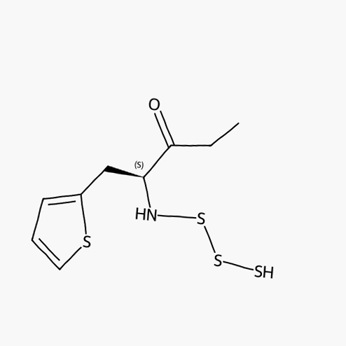 CCC(=O)[C@H](Cc1cccs1)NSSS